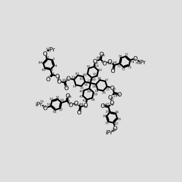 CC(C)Oc1ccc(C(=O)OOC(=O)OC2CCC(C(C3CCC(OC(=O)OOC(=O)c4ccc(OC(C)C)cc4)CC3)(C3CCC(OC(=O)OOC(=O)c4ccc(OC(C)C)cc4)CC3)C3CCC(OC(=O)OOC(=O)c4ccc(OC(C)C)cc4)CC3)CC2)cc1